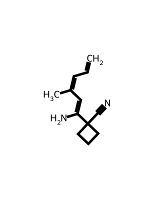 C=C/C=C(C)\C=C(/N)C1(C#N)CCC1